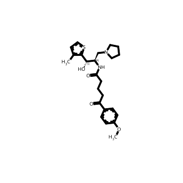 COc1ccc(C(=O)CCCC(=O)N[C@H](CN2CCCC2)[C@H](O)c2sccc2C)cc1